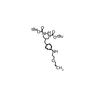 C=CCOCCNc1ccc(CC(CNC(=O)OC(C)(C)C)CNC(=O)OC(C)(C)C)cc1